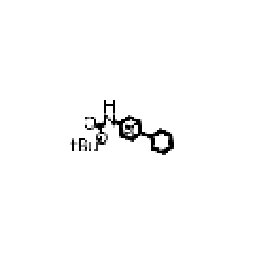 CC(C)(C)OC(=O)NC12CCC(c3ccccc3)(CC1)CC2